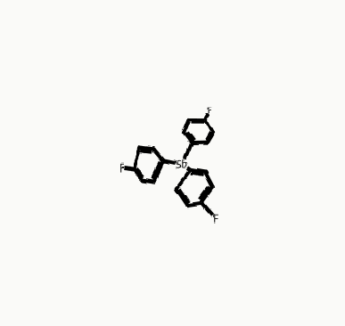 Fc1cc[c]([Sb]([c]2ccc(F)cc2)[c]2ccc(F)cc2)cc1